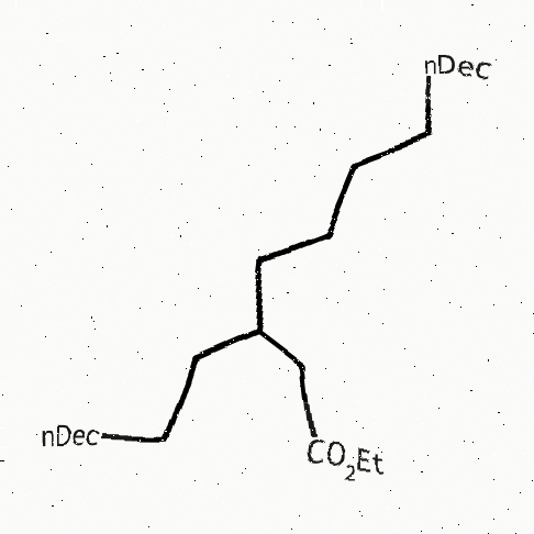 CCCCCCCCCCCCCCC(CCCCCCCCCCCC)CC(=O)OCC